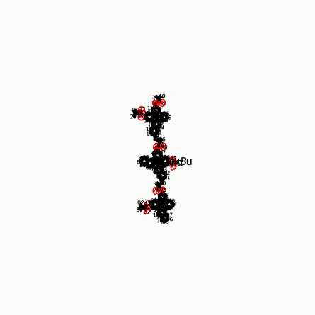 C=C(C)C(=O)Oc1ccc(C2(c3ccc(OC(=O)C(=C)C)cc3)c3ccccc3-c3cc4cc(CC(=C)C(=O)Oc5ccc(C6(c7ccc(OC(=O)C(C)(C)C)cc7)c7cc8ccccc8cc7-c7cc8cc(CC(=C)C(=O)Oc9ccc(C%10(c%11ccc(OC(=O)C(=C)C)cc%11)c%11ccccc%11-c%11c%10ccc%10ccccc%11%10)cc9)ccc8cc76)cc5)ccc4cc32)cc1